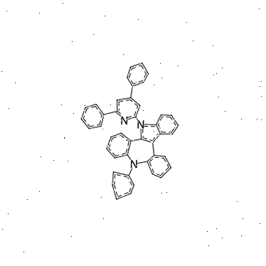 c1ccc(-c2cc(-c3ccccc3)nc(-n3c4c(c5ccccc53)-c3ccccc3N(c3ccccc3)c3ccccc3-4)c2)cc1